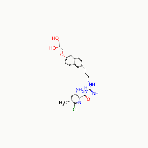 Cc1cc(N)c(C(=O)NC(=N)NCCCCc2ccc3cc(OCC(O)CO)ccc3c2)nc1Cl